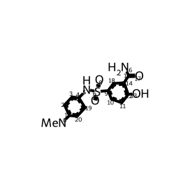 CNc1ccc(NS(=O)(=O)c2ccc(O)c(C(N)=O)c2)cc1